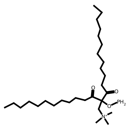 CCCCCCCCCCCC(=O)C(C[N+](C)(C)C)(OP)C(=O)CCCCCCCCCCC